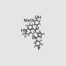 COc1c(O)ccc2c1-c1ccc3c(c1/C(=C/c1sccc1C(=O)c1ccc(F)cc1)O2)C(C)=CC(C)(C)N3